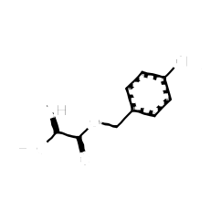 CC(=N)C(=O)OCc1ccc(C)cc1